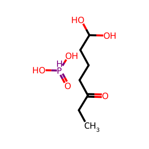 CCC(=O)CCCC(O)O.O=[PH](O)O